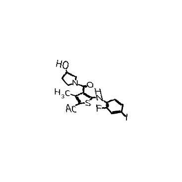 CC(=O)c1sc(Nc2ccc(I)cc2F)c(C(=O)N2CC[C@@H](O)C2)c1C